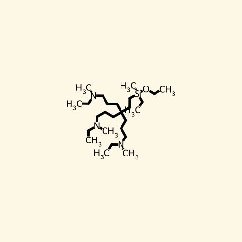 CCO[Si](C)(CC)CCC(CCCN(C)CC)(CCCN(C)CC)CCCN(C)CC